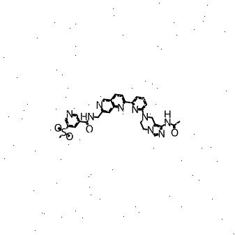 CC(=O)Nc1ncn2c1CN(c1cccc(-c3ccc4cnc(CNC(=O)c5cncc(S(C)(=O)=O)c5)cc4n3)n1)CC2